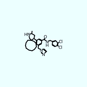 CC1CC(c2cc(Cn3ccnc3)cc(C(=O)NCc3ccc(Cl)c(Cl)c3)c2)C2(CCCCCCCCCC2)CN1